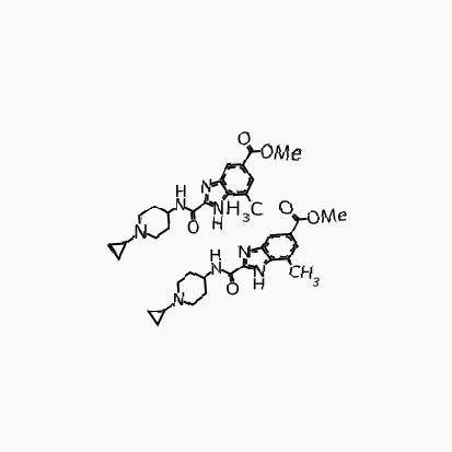 COC(=O)c1cc(C)c2[nH]c(C(=O)NC3CCN(C4CC4)CC3)nc2c1.COC(=O)c1cc(C)c2[nH]c(C(=O)NC3CCN(C4CC4)CC3)nc2c1